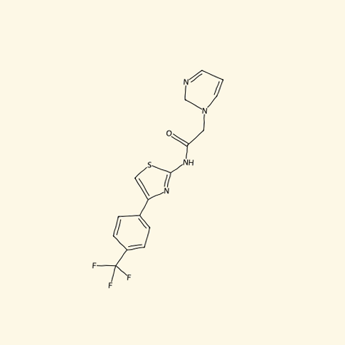 O=C(CN1C=CC=NC1)Nc1nc(-c2ccc(C(F)(F)F)cc2)cs1